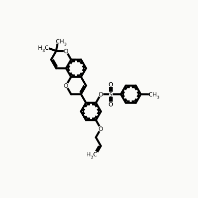 C=CCOc1ccc(C2=Cc3ccc4c(c3OC2)C=CC(C)(C)O4)c(OS(=O)(=O)c2ccc(C)cc2)c1